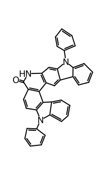 O=c1[nH]c2cc3c(cc2c2c1ccc1c2c2ccccc2n1-c1ccccc1)c1ccccc1n3-c1ccccc1